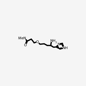 CNC(=O)CCOCCCC(N)Cc1c[nH]cn1